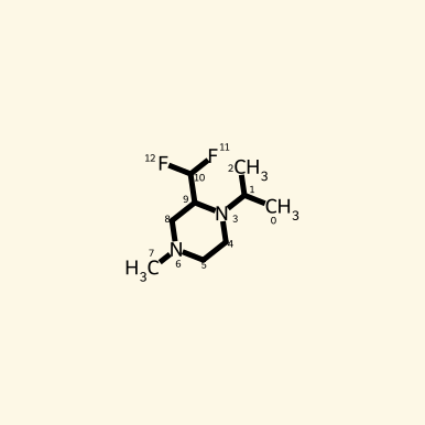 CC(C)N1CCN(C)CC1C(F)F